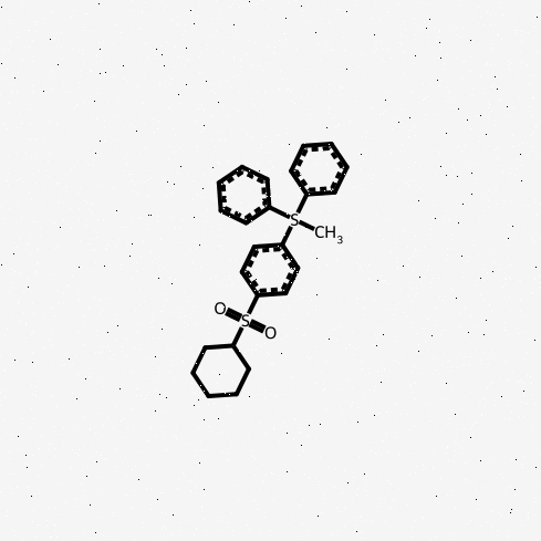 CS(c1ccccc1)(c1ccccc1)c1ccc(S(=O)(=O)C2CCCCC2)cc1